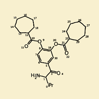 CC(C)C(N)C(=O)c1ccc(OC(=O)C2CCCCCC2)c(OC(=O)C2CCCCCC2)c1